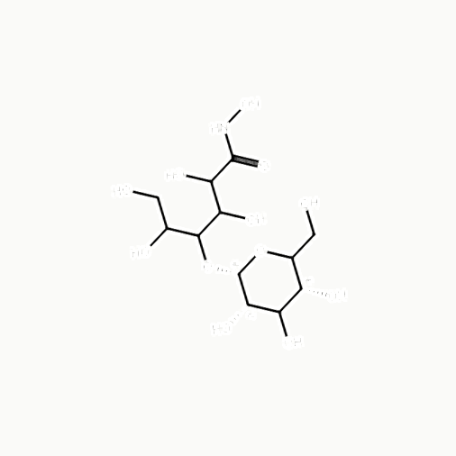 O=C(NO)C(O)C(O)C(O[C@@H]1OC(CO)[C@H](O)C(O)[C@@H]1O)C(O)CO